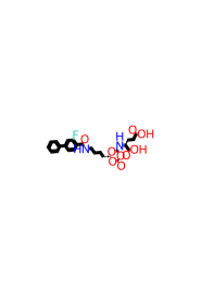 O=CO[C@H](CCCCNC(=O)c1ccc(-c2ccccc2)cc1F)OC(=O)N[C@@H](CCC(=O)O)C(=O)O